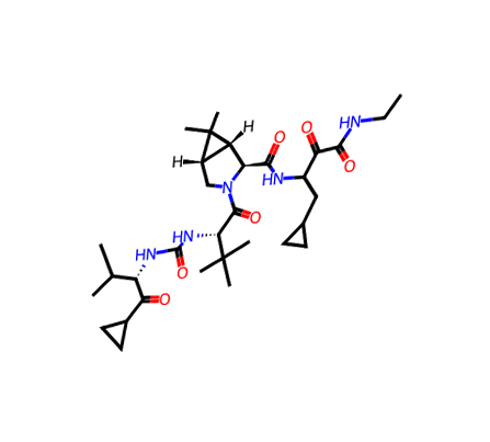 CCNC(=O)C(=O)C(CC1CC1)NC(=O)[C@@H]1[C@@H]2[C@H](CN1C(=O)[C@@H](NC(=O)N[C@H](C(=O)C1CC1)C(C)C)C(C)(C)C)C2(C)C